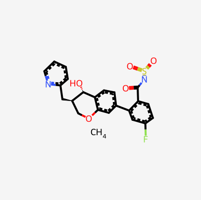 C.O=C(N=S(=O)=O)c1ccc(F)cc1-c1ccc2c(c1)OC[C@@H](Cc1ccccn1)[C@@H]2O